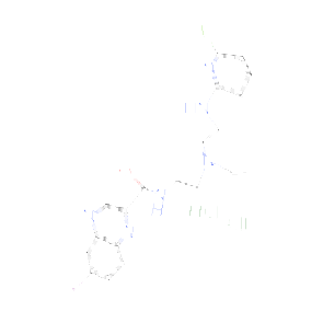 CCN(CCNC(=O)c1cnc2cc(I)ccc2n1)CCNc1cccc(F)n1.Cl.Cl